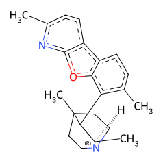 Cc1ccc2c(n1)oc1c(C3[C@@H](C)N4CCC3(C)CC4)c(C)ccc12